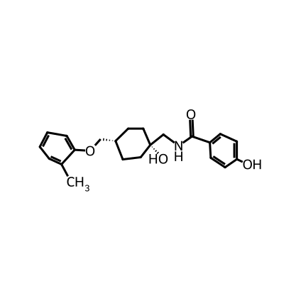 Cc1ccccc1OC[C@H]1CC[C@](O)(CNC(=O)c2ccc(O)cc2)CC1